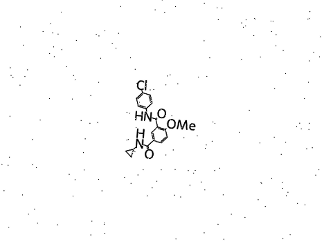 COc1ccc(C(=O)NC2CC2)cc1C(=O)Nc1ccc(Cl)cc1